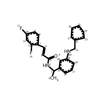 CC(NC(=O)C=Cc1ccc(F)cc1F)c1cccc(NCc2ccccc2)c1